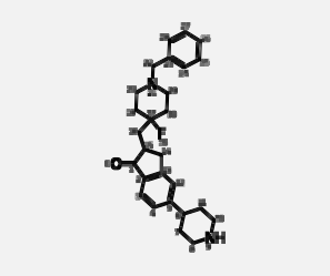 O=C1c2ccc(C3CCNCC3)cc2CC1CC1(F)CCN(Cc2ccccc2)CC1